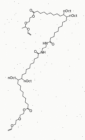 C=COCCOCCOC(=O)CCCCCCCCC(CCCCCCCC)C(CCCCCCCC)CCCCCCCCC(=O)NCCNC(=O)CCCCCCCCC(CCCCCCCC)C(CCCCCCCC)CCCCCCCCC(=O)OCCOC(C)OC=C